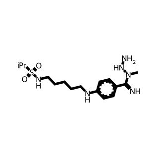 CC(C)S(=O)(=O)NCCCCCNc1ccc(C(=N)N(C)NN)cc1